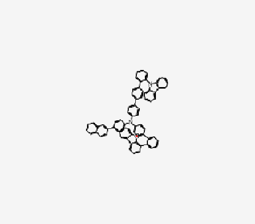 c1ccc(-c2cccc3c2oc2ccccc23)c(-c2ccc(N(c3ccc(-c4ccc(-c5ccccc5-n5c6ccccc6c6ccccc65)cc4)cc3)c3ccc(-c4ccc5ccccc5c4)cc3)cc2)c1